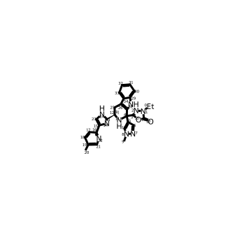 CCn1nc(C2(c3cnn(C)c3)N[C@@H](c3nc(-c4ccc(C)cn4)c[nH]3)Cc3c2[nH]c2ccccc32)oc1=O